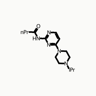 CCCC(=O)Nc1nccc(N2CCN(C(C)C)CC2)n1